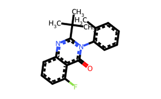 Cc1ccccc1-n1c(C(C)(C)C)nc2cccc(F)c2c1=O